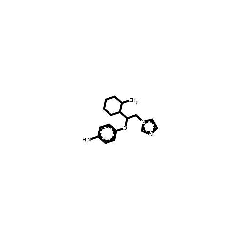 CC1CCCCC1C(Cn1ccnc1)Oc1ccc(N)cc1